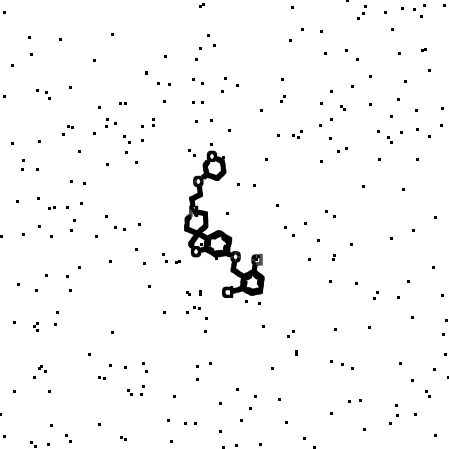 Clc1cccc(Cl)c1COc1ccc2c(c1)OCC21CCN(CCOC2CCCOC2)CC1